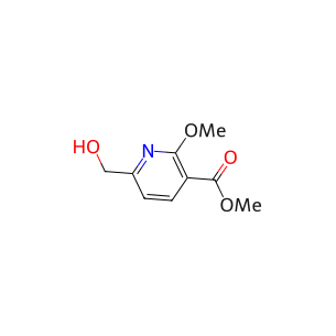 COC(=O)c1ccc(CO)nc1OC